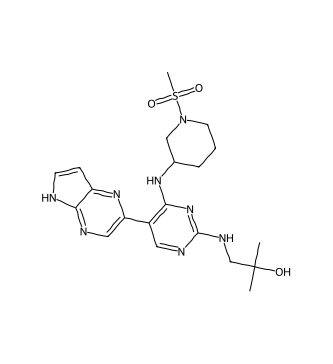 CC(C)(O)CNc1ncc(-c2cnc3[nH]ccc3n2)c(NC2CCCN(S(C)(=O)=O)C2)n1